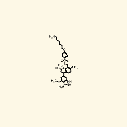 COc1cc(C(CC(=O)O)c2ccc(C)c(CN(C)S(=O)(=O)c3ccc(OCCCCCCN)cc3)c2)cc2c1N(C)NN2